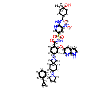 CC1(O)CCC(CNc2ncc(S(=O)(=O)NC(=O)c3ccc(N4CC5(CCC(N6CCC[C@@H]6c6ccccc6C6CC6)CC5)C4)cc3Oc3cnc4[nH]ccc4c3)cc2[N+](=O)[O-])CC1